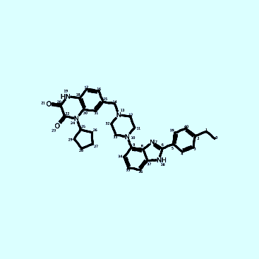 CCc1ccc(-c2nc3c(N4CCN(Cc5ccc6[nH]c(=O)c(=O)n(C7CCCC7)c6c5)CC4)cccc3[nH]2)cc1